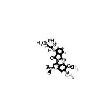 COc1ccc(C(CC[SH](=O)=O)N2C(=O)c3cccc(NC(=O)CN(C)C)c3C2=O)cc1OC